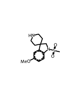 COc1ccc2c(c1)C1(CCNCC1)CN2S(C)(=O)=O